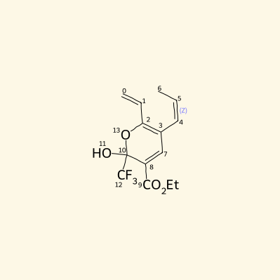 C=CC1=C(/C=C\C)C=C(C(=O)OCC)C(O)(C(F)(F)F)O1